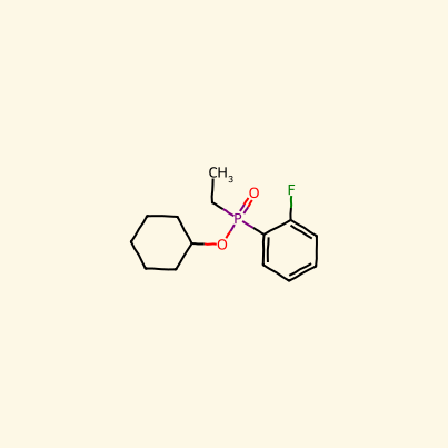 CCP(=O)(OC1CCCCC1)c1ccccc1F